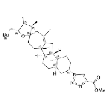 CC[C@@H](C)C[C@H]1O[C@]2(CC[C@@H]3C(=C(C)C2)C[C@H]2[C@H]3CC[C@@H]3C[C@@H](n4cc(C(=O)OC)nn4)CC[C@@]32C)[C@H](C)[C@@H]1C